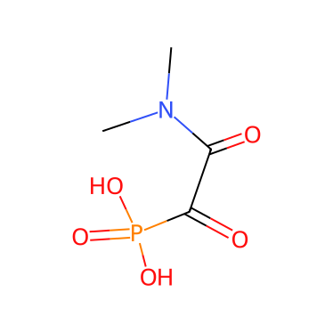 CN(C)C(=O)C(=O)P(=O)(O)O